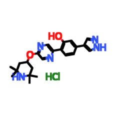 CC1(C)CC(Oc2cnc(-c3ccc(-c4cn[nH]c4)cc3O)cn2)CC(C)(C)N1.Cl